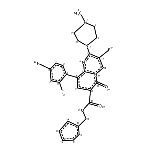 CN1CCN(c2nc3c(-c4ccc(F)cc4F)cc(C(=O)OCc4ccccc4)c(=O)n3cc2F)CC1